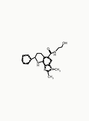 Cc1nc2c3c(c(C(=O)NCCO)cc2n1C)CCC(c1ccccc1)N3